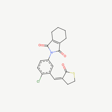 O=C1SCCC1=Cc1cc(N2C(=O)C3=C(CCCC3)C2=O)ccc1Cl